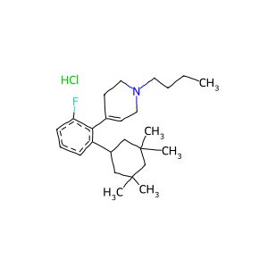 CCCCN1CC=C(c2c(F)cccc2C2CC(C)(C)CC(C)(C)C2)CC1.Cl